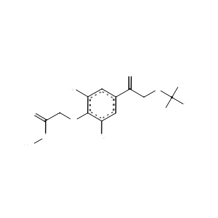 CC(C)(C)OC(=O)COc1c(Br)cc(C(=O)CSC(F)(F)C(=O)O)cc1Br